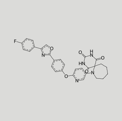 O=C1NC(=O)C2(CCCCCN2c2ccc(Oc3ccc(-c4nc(-c5ccc(F)cc5)co4)cc3)nc2)C(=O)N1